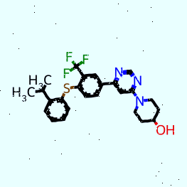 CC(C)c1ccccc1Sc1ccc(-c2cc(N3CCC(O)CC3)ncn2)cc1C(F)(F)F